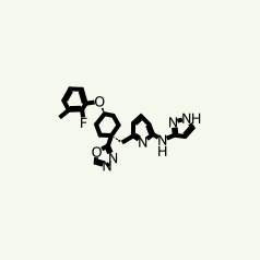 Cc1cccc(O[C@H]2CC[C@](Cc3cccc(Nc4cc[nH]n4)n3)(c3nnco3)CC2)c1F